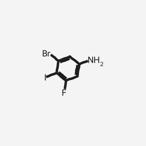 Nc1cc(F)c(I)c(Br)c1